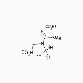 [2H]C([2H])([2H])N(CC(=O)O)/C(=N/C(=O)OCC)SC